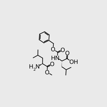 CC(C)C[C@H](NC(=O)OCc1ccccc1)C(=O)O.COC(=O)[C@@H](N)CC(C)C